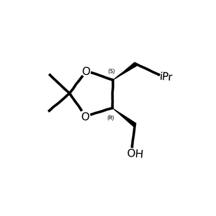 CC(C)C[C@@H]1OC(C)(C)O[C@@H]1CO